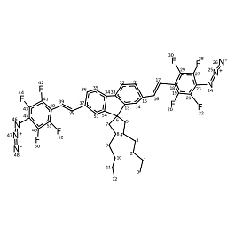 CCCCCCC1(CCCCCC)c2cc(/C=C/c3c(F)c(F)c(N=[N+]=[N-])c(F)c3F)ccc2-c2ccc(/C=C/c3c(F)c(F)c(N=[N+]=[N-])c(F)c3F)cc21